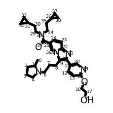 CC1CCCN1CCCc1c(-c2ccc(OCCO)nc2)nc2ccc(C(=O)N(CCC3CC3)CCC3CC3)cn12